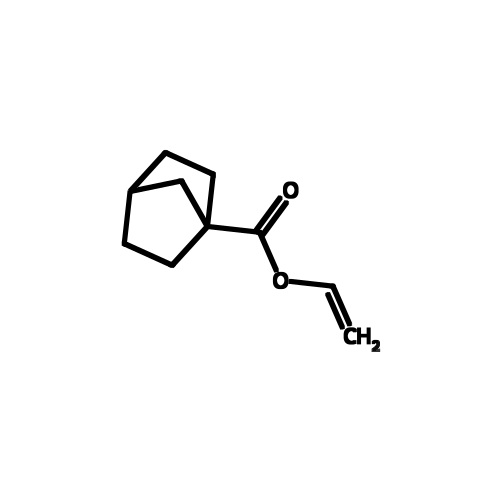 C=COC(=O)C12CCC(CC1)C2